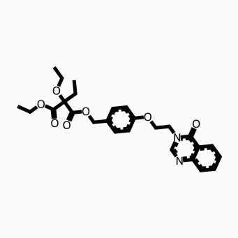 CCOC(=O)C(CC)(OCC)C(=O)OCc1ccc(OCCn2cnc3ccccc3c2=O)cc1